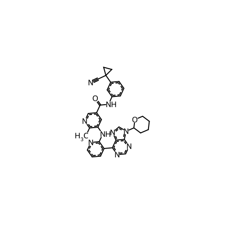 Cc1ncc(C(=O)Nc2cccc(C3(C#N)CC3)c2)cc1Nc1ncccc1-c1ncnc2c1ncn2C1CCCCO1